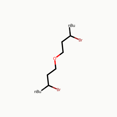 CCCCC(Br)CCOCCC(Br)CCCC